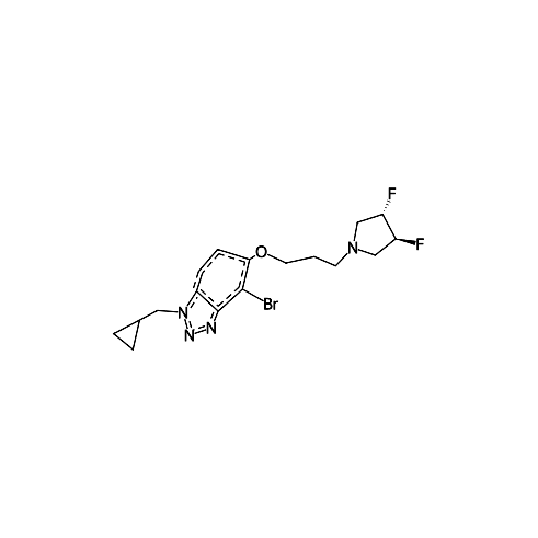 F[C@H]1CN(CCCOc2ccc3c(nnn3CC3CC3)c2Br)C[C@@H]1F